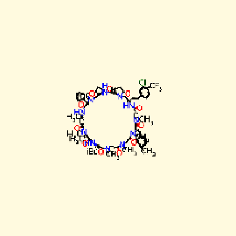 CCC(C)[C@@H]1NC(=O)[C@H](C)N(C)C(=O)C[C@@H](C)NC(=O)[C@H](C2CCCC2)N(C)C(=O)C2(CCC2)NC(=O)[C@@H]2CCCN2C(=O)[C@H](CCc2ccc(C(F)(F)F)c(Cl)c2)NC(=O)CN(C)C(=O)[C@H](Cc2ccc(C)cc2)N(C)C(=O)CN(C)C(=O)CN(C)C1=O